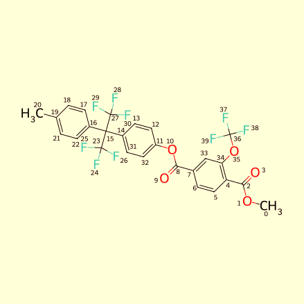 COC(=O)c1ccc(C(=O)Oc2ccc(C(c3ccc(C)cc3)(C(F)(F)F)C(F)(F)F)cc2)cc1OC(F)(F)F